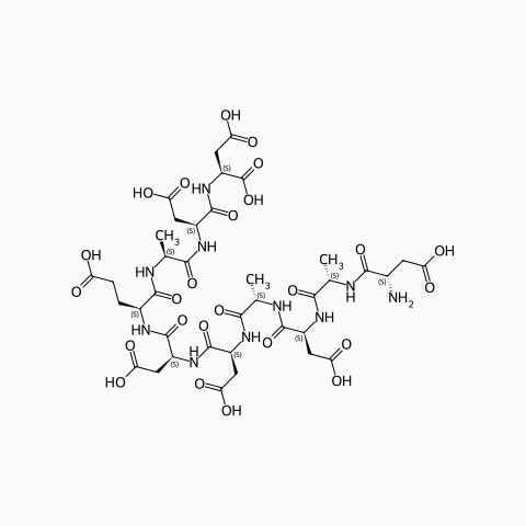 C[C@H](NC(=O)[C@H](CC(=O)O)NC(=O)[C@H](C)NC(=O)[C@@H](N)CC(=O)O)C(=O)N[C@@H](CC(=O)O)C(=O)N[C@@H](CC(=O)O)C(=O)N[C@@H](CCC(=O)O)C(=O)N[C@@H](C)C(=O)N[C@@H](CC(=O)O)C(=O)N[C@@H](CC(=O)O)C(=O)O